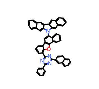 c1ccc(-c2nc(-c3ccc4ccccc4c3)nc(-c3cccc4c3oc3c5ccccc5c(-n5c6cc7ccccc7cc6c6cc7ccccc7cc65)cc43)n2)cc1